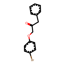 O=C(COc1ccc(Br)cc1)Cc1ccccc1